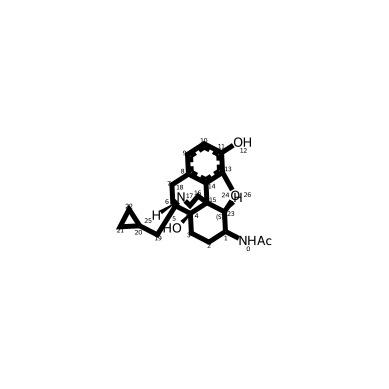 CC(=O)NC1CC[C@]2(O)[C@@H]3Cc4ccc(O)c5c4C2(CCN3CC2CC2)[C@@H]1O5